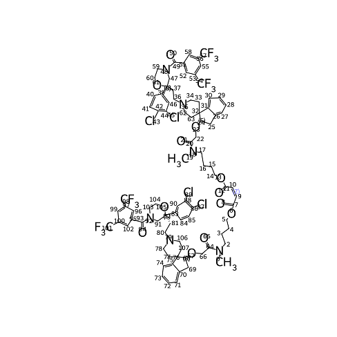 CN(CCCCOC(=O)/C=C\C(=O)OCCCCN(C)C(=O)CO[C@H]1Cc2ccccc2C12CCN(CC[C@]1(c3ccc(Cl)c(Cl)c3)CN(C(=O)c3cc(C(F)(F)F)cc(C(F)(F)F)c3)CCO1)CC2)C(=O)CO[C@H]1Cc2ccccc2C12CCN(CC[C@]1(c3ccc(Cl)c(Cl)c3)CN(C(=O)c3cc(C(F)(F)F)cc(C(F)(F)F)c3)CCO1)CC2